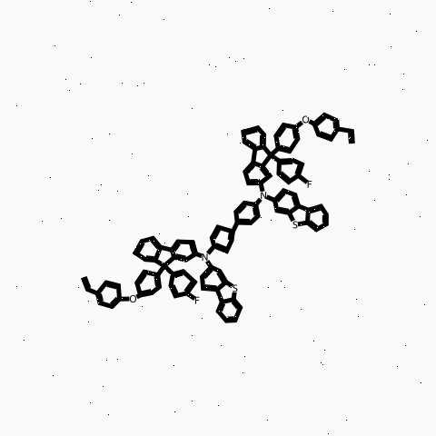 C=Cc1ccc(Oc2ccc(C3(c4ccc(F)cc4)c4ccccc4-c4ccc(N(c5ccc(-c6ccc(N(c7ccc8c(c7)C(c7ccc(F)cc7)(c7ccc(Oc9ccc(C=C)cc9)cc7)c7ccccc7-8)c7ccc8c(c7)sc7ccccc78)cc6)cc5)c5ccc6c(c5)sc5ccccc56)cc43)cc2)cc1